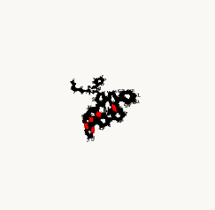 C=C/C=C\C=C\c1nc(-c2ccccc2)nc(-c2cc(-c3ccc(-c4ccccc4)cc3)c(-n3c4ccccc4c4ccc5c6ccccc6sc5c43)c(-c3ccc(-c4ccccc4)cc3)c2)n1